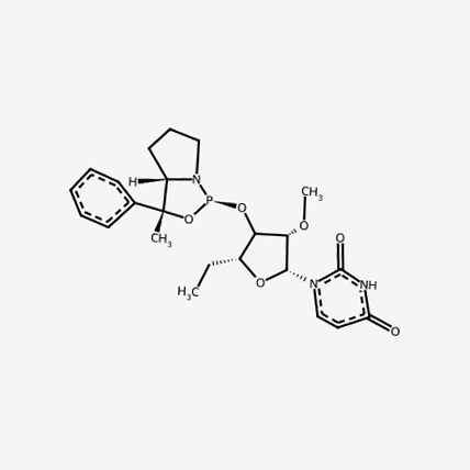 CC[C@H]1O[C@@H](n2ccc(=O)[nH]c2=O)[C@@H](OC)C1O[P@@]1O[C@](C)(c2ccccc2)[C@@H]2CCCN21